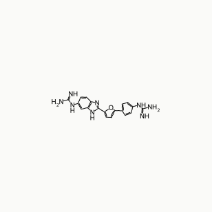 N=C(N)Nc1ccc(-c2ccc(-c3nc4ccc(NC(=N)N)cc4[nH]3)o2)cc1